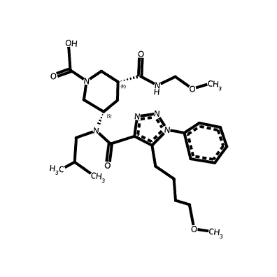 COCCCCc1c(C(=O)N(CC(C)C)[C@H]2C[C@@H](C(=O)NCOC)CN(C(=O)O)C2)nnn1-c1ccccc1